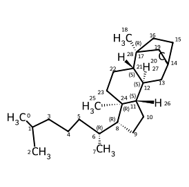 CC(C)CCC[C@@H](C)[C@H]1CC[C@H]2[C@@H]3CC45CC[C@@](C)(C4C5)[C@H]3CC[C@]12C